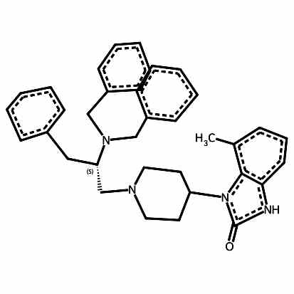 Cc1cccc2[nH]c(=O)n(C3CCN(C[C@H](Cc4ccccc4)N(Cc4ccccc4)Cc4ccccc4)CC3)c12